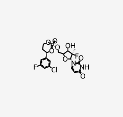 C[C@@]1(F)[C@H](O)C(CO[P@]2(=O)OCC[C@H](c3cc(F)cc(Cl)c3)O2)O[C@H]1n1ccc(=O)[nH]c1=O